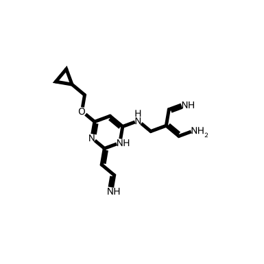 N=C/C=C1/N=C(OCC2CC2)C=C(NC/C(C=N)=C/N)N1